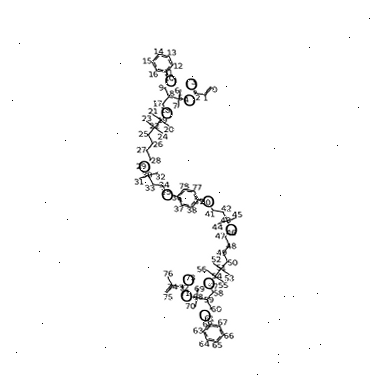 C=CC(=O)OC(C)(C)C(COc1ccccc1)COC(C)(C)C(C)(C)CCCCOC(C)(C)CCOc1ccc(OCCC(C)(C)OCCCCC(C)(C)C(C)(C)OCC(COc2ccccc2)C(C)(C)OC(=O)C(=C)C)cc1